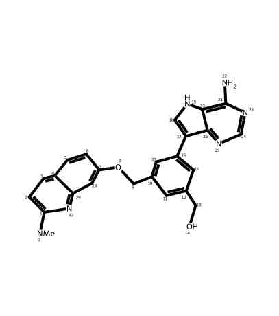 CNc1ccc2ccc(OCc3cc(CO)cc(-c4c[nH]c5c(N)ncnc45)c3)cc2n1